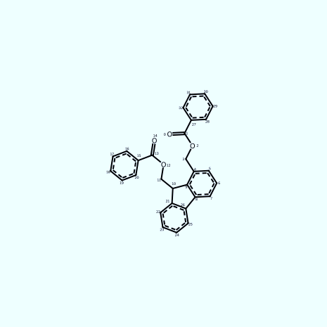 O=C(OCc1cccc2c1C(COC(=O)c1ccccc1)c1ccccc1-2)c1ccccc1